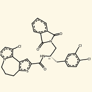 O=C(N[C@@H](Cc1ccc(Cl)c(Cl)c1)CN1C(=O)c2ccccc2C1=O)c1cc2c(s1)CCCn1ncc(Cl)c1-2